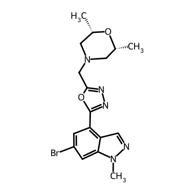 C[C@@H]1CN(Cc2nnc(-c3cc(Br)cc4c3cnn4C)o2)C[C@H](C)O1